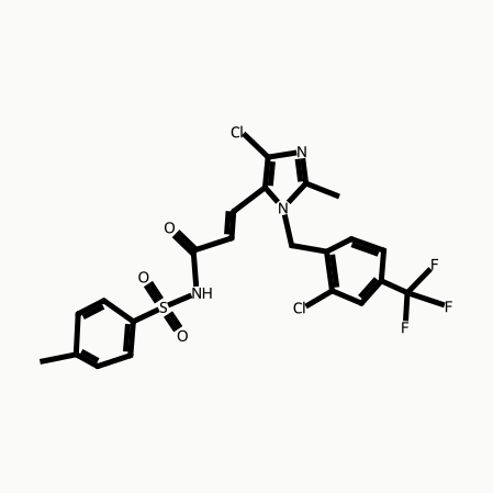 Cc1ccc(S(=O)(=O)NC(=O)/C=C/c2c(Cl)nc(C)n2Cc2ccc(C(F)(F)F)cc2Cl)cc1